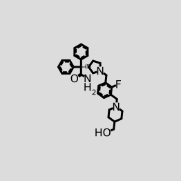 NC(=O)C(c1ccccc1)(c1ccccc1)[C@@H]1CCN(Cc2cccc(CN3CCC(CO)CC3)c2F)C1